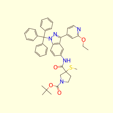 CCOc1cc(-c2nn(C(c3ccccc3)(c3ccccc3)c3ccccc3)c3ccc(NC(=O)C4(SC)CCN(C(=O)OC(C)(C)C)C4)cc23)ccn1